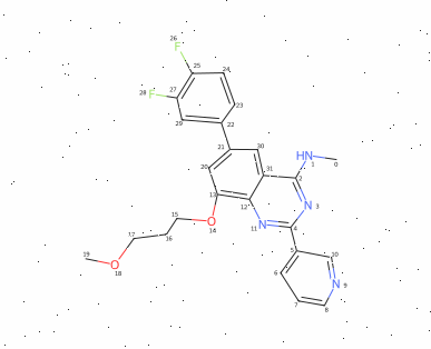 CNc1nc(-c2cccnc2)nc2c(OCCCOC)cc(-c3ccc(F)c(F)c3)cc12